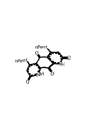 CCCCCc1cc(=O)[nH]c2c1C(=O)c1c(CCCCC)cc(=O)[nH]c1C2=O